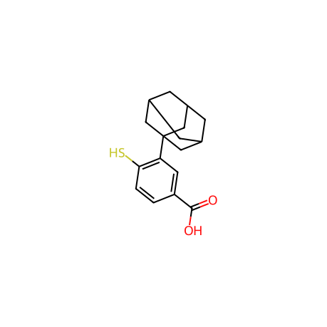 O=C(O)c1ccc(S)c(C23CC4CC(CC(C4)C2)C3)c1